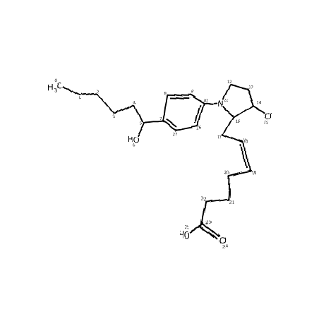 CCCCCC(O)c1ccc(N2CCC(Cl)C2C/C=C\CCCC(=O)O)cc1